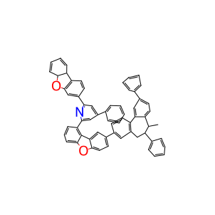 CC1c2ccc(-c3ccccc3)cc2-c2ccc(-c3ccc4oc5cccc(-c6cc(-c7ccccc7)cc(-c7ccc8c(c7)OC7C=CC=CC87)n6)c5c4c3)cc2CC1c1ccccc1